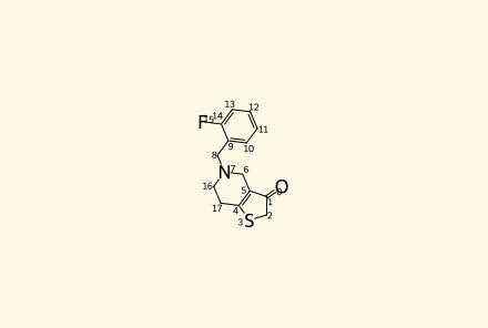 O=C1CSC2=C1CN(Cc1ccccc1F)CC2